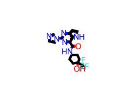 O=C(NC1CCC(O)(C(F)(F)F)CC1)c1nc(-n2ccnc2)nc2cc[nH]c12